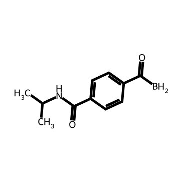 BC(=O)c1ccc(C(=O)NC(C)C)cc1